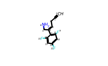 C#CCC=C(CN)c1c(F)cc(F)cc1F